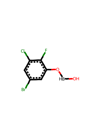 OBOc1cc(Br)cc(Cl)c1F